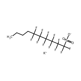 CCCCC(F)(F)C(F)(F)C(F)(F)C(F)(F)C(F)(F)C(F)(F)S(=O)(=O)[O-].[K+]